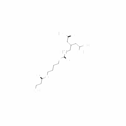 CCCC(=O)OCCCCOC(=O)NCC(CC(=O)O)CC(C)C